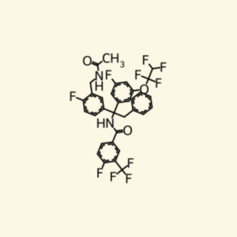 CC(=O)NCc1cc(C(Cc2ccccc2)(NC(=O)c2ccc(F)c(C(F)(F)F)c2)c2cc(F)cc(OC(F)(F)C(F)F)c2)ccc1F